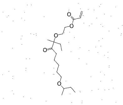 C=CC(=O)OCCOC(C)(CC)C(=O)CCCCCOC(C)CC